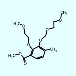 COCCOCOc1c(C)ccc(C(=O)OC)c1OCCOC